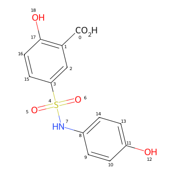 O=C(O)c1cc(S(=O)(=O)Nc2ccc(O)cc2)ccc1O